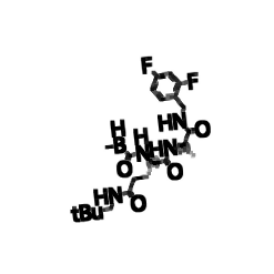 CBC(=O)N[C@@H](CCC(=O)NCC(C)(C)C)C(=O)N[C@@H](C)C(=O)NCc1ccc(F)cc1F